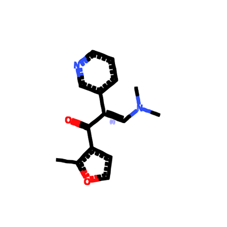 Cc1occc1C(=O)/C(=C/N(C)C)c1cccnc1